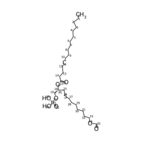 CCCCCCCCCCCCCCCC(=O)O[C@H](COP(=O)(O)O)CSCCCCCCCOC=O